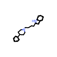 c1ccc(C2CCN(CCCCc3cc4ccccc4[nH]3)CC2)cc1